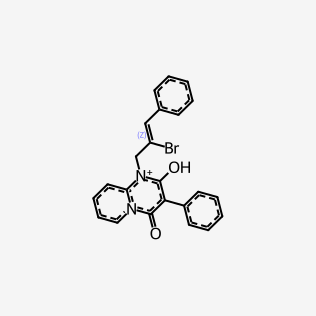 O=c1c(-c2ccccc2)c(O)[n+](C/C(Br)=C/c2ccccc2)c2ccccn12